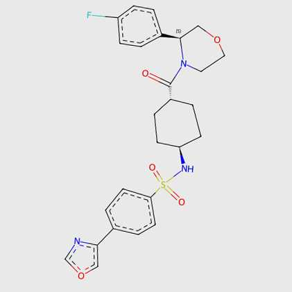 O=C([C@H]1CC[C@H](NS(=O)(=O)c2ccc(-c3cocn3)cc2)CC1)N1CCOC[C@@H]1c1ccc(F)cc1